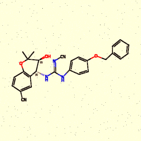 CC1(C)Oc2ccc(C#N)cc2[C@@H](NC(=NC#N)Nc2ccc(OCc3ccccc3)cc2)[C@@H]1O